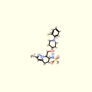 CC(C)c1cc2n(n1)C(COC1CCN(c3ccccc3F)CC1)C(NS(C)(=O)=O)CC2